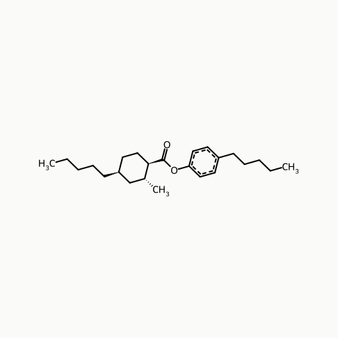 CCCCCc1ccc(OC(=O)[C@@H]2CC[C@H](CCCCC)C[C@H]2C)cc1